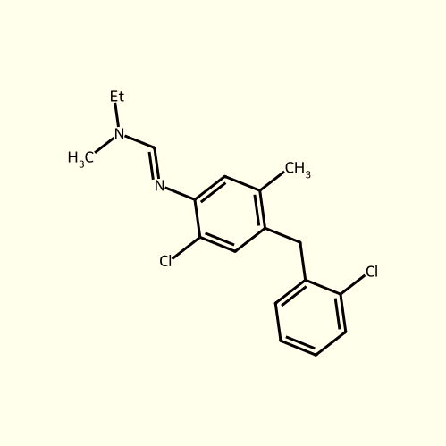 CCN(C)C=Nc1cc(C)c(Cc2ccccc2Cl)cc1Cl